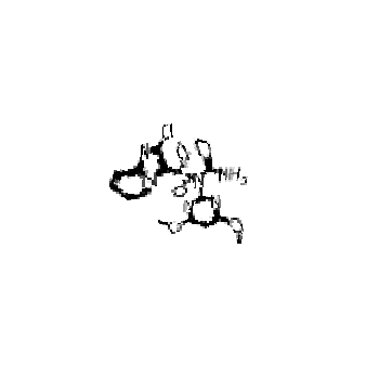 COc1cc(OC)nc(N(C(N)=O)S(=O)(=O)c2c(Cl)nc3ccccn23)n1